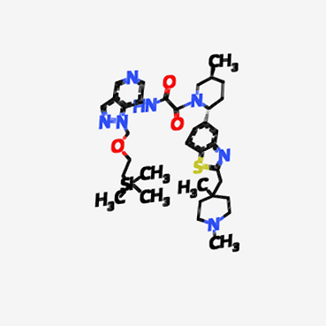 C[C@H]1CC[C@H](c2ccc3sc(CC4(C)CCN(C)CC4)nc3c2)N(C(=O)C(=O)Nc2cncc3cnn(COCC[Si](C)(C)C)c23)C1